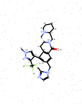 Cc1nccn1Cc1cc2c(c(-c3cn(C)nc3C(F)(F)F)c1)CCN(CC1CCCCN1C)C2=O